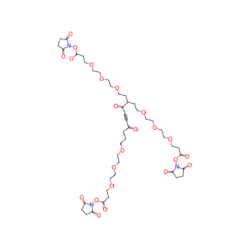 O=C(C#CC(=O)C(CCOCCOCCOCCC(=O)ON1C(=O)CCC1=O)CCOCCOCCOCCC(=O)ON1C(=O)CCC1=O)CCCOCCOCCOCCC(=O)ON1C(=O)CCC1=O